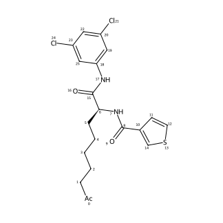 CC(=O)CCCCC[C@H](NC(=O)c1ccsc1)C(=O)Nc1cc(Cl)cc(Cl)c1